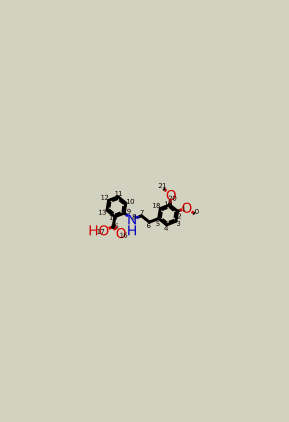 COc1ccc(CCNc2ccccc2C(=O)O)cc1OC